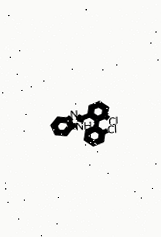 Clc1ccccc1-c1c(Cl)cccc1-c1nc2ccccc2[nH]1